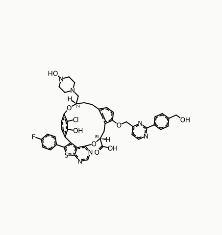 O=C(O)[C@H]1Cc2cc(ccc2OCc2ccnc(-c3ccc(CO)cc3)n2)CC[C@@H](CN2CCN(O)CC2)Oc2ccc(c(O)c2Cl)-c2c(-c3ccc(F)cc3)sc3ncnc(c23)O1